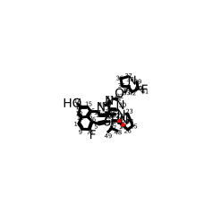 CC(C)[Si](C#Cc1c(F)ccc2cc(O)cc(-c3ccc4c(N5CC6CCC(C5)N6)nc(OC[C@@]56CCCN5C[C@H](F)C6)nc4n3)c12)(C(C)C)C(C)C